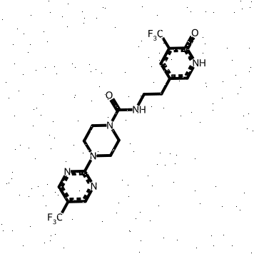 O=C(NCCc1c[nH]c(=O)c(C(F)(F)F)c1)N1CCN(c2ncc(C(F)(F)F)cn2)CC1